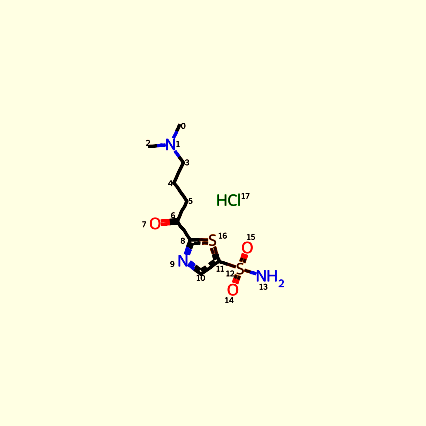 CN(C)CCCC(=O)c1ncc(S(N)(=O)=O)s1.Cl